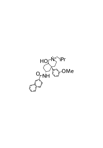 COc1cccc([C@]23CC[N@@+](C)(CC(C)C)CC2(O)CC[C@@H](NC(=O)c2ccc4ccccc4c2)C3)c1